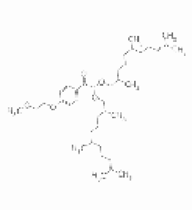 COCCOc1ccc(C(=O)C(OCC(C)CCCC(C)CCC=C(C)C)OCC(C)CCCC(C)CCC=C(C)C)cc1